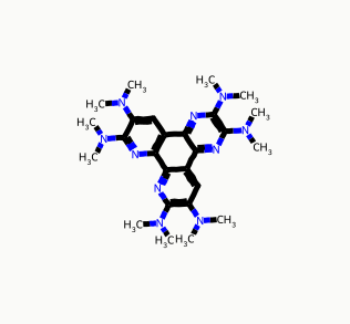 CN(C)c1cc2c(nc1N(C)C)c1nc(N(C)C)c(N(C)C)cc1c1nc(N(C)C)c(N(C)C)nc21